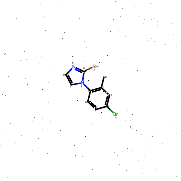 Cc1cc(Br)ccc1-n1ccnc1S